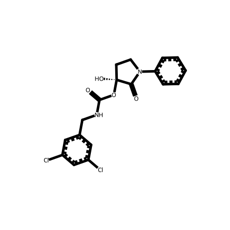 O=C(NCc1cc(Cl)cc(Cl)c1)O[C@@]1(O)CCN(c2ccccc2)C1=O